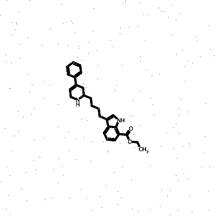 CCOC(=O)c1cccc2c(CCCCC3CC(c4ccccc4)=CCN3)c[nH]c12